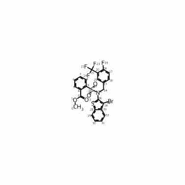 COC(=O)c1ccccc1S(=O)(=O)N(Cc1ccc(F)c(C(F)(F)F)c1)c1sc2ccccc2c1Br